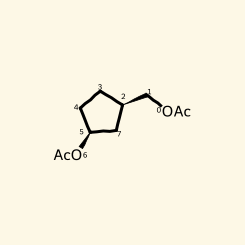 CC(=O)OC[C@@H]1CC[C@H](OC(C)=O)C1